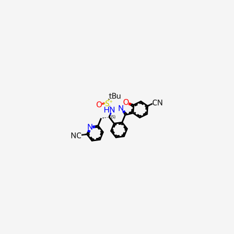 CC(C)(C)[S+]([O-])N[C@@H](Cc1cccc(C#N)n1)c1ccccc1-c1noc2cc(C#N)ccc12